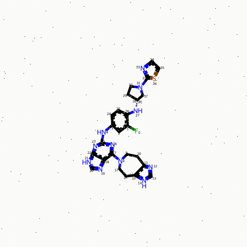 Fc1cc(Nc2nc(N3CCc4nc[nH]c4CC3)c3nc[nH]c3n2)ccc1N[C@@H]1CCN(c2nccs2)C1